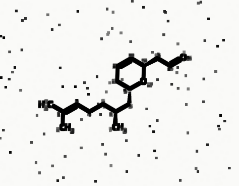 CC(C)=CCC[C@H](C)C[C@@H]1CC=C[C@@H](CC=O)O1